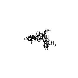 CC(C)CCC(=O)N[C@@H](CC(=O)N1CCOCC1C)C(=O)N[C@@H](C)c1ncc(-c2ccc(F)cc2F)[nH]1